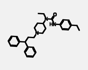 CCc1ccc(NC(=O)N(CC)C2CCN(CCC(c3ccccc3)c3ccccc3)CC2)cc1